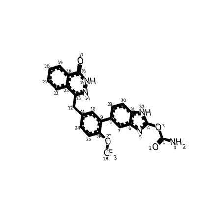 NC(=O)Oc1nc2cc(-c3cc(Cc4n[nH]c(=O)c5ccccc45)ccc3OC(F)(F)F)ccc2[nH]1